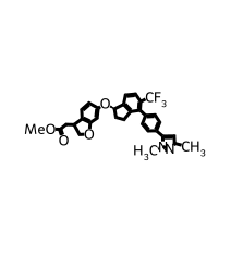 COC(=O)CC1COc2cc(O[C@@H]3CCc4c3ccc(C(F)(F)F)c4-c3ccc(-c4cc(C)nn4C)cc3)ccc21